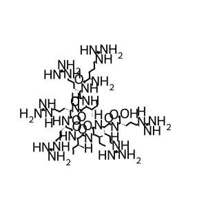 CC[C@H](C)[C@H](NC(=O)[C@H](CCCNC(=N)N)NC(=O)[C@@H](N)CCCNC(=N)N)C(=O)N[C@@H](CCCNC(=N)N)C(=O)N[C@@H](CCCNC(=N)N)C(=O)N[C@H](C(=O)N[C@H](C(=O)N[C@@H](CCCNC(=N)N)C(=O)N[C@@H](CCCNC(=N)N)C(=O)O)[C@@H](C)CC)[C@@H](C)CC